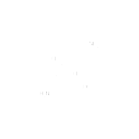 CC(C)(N)C(Cl)(Cl)CCN.[Pt]